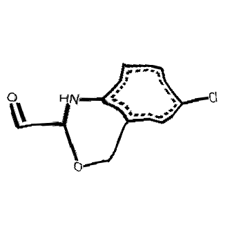 O=CC1Nc2ccc(Cl)cc2CO1